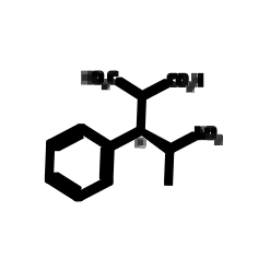 CC([C@@H](c1ccccc1)C(C(=O)O)C(=O)O)[N+](=O)[O-]